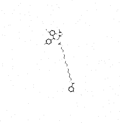 COc1ccc2c(c1)C(c1ccc(Cl)cc1)=N[C@@H](OC(=O)NCCOCCOCCOCCCCCNC(=O)c1cccc(O)c1)c1nnc(C)n1-2